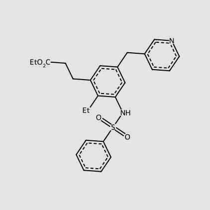 CCOC(=O)CCc1cc(Cc2cccnc2)cc(NS(=O)(=O)c2ccccc2)c1CC